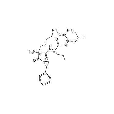 CCC[C@H](NC(=O)[C@@](N)(CCCCN)C(=O)C1CC1c1ccccc1)C(=O)N[C@@H](CC(C)C)C(N)=O